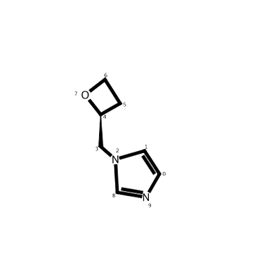 c1cn(C[C@@H]2CCO2)cn1